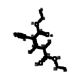 CCOC(=O)C(C#N)=C(C)C(C)C(=O)OCC